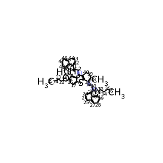 C=C(/C=C/C1=C(Sc2ccc(OCCCC)cc2)C(=C/C=c2\c3cccc4cccc(c43)n2CCCC)/C(C)CC1)c1cccc2cccc(C)c12